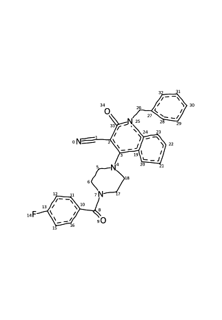 N#Cc1c(N2CCN(C(=O)c3ccc(F)cc3)CC2)c2ccccc2n(Cc2ccccc2)c1=O